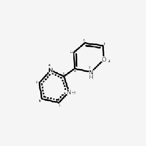 C1=CONC(c2ncccn2)=C1